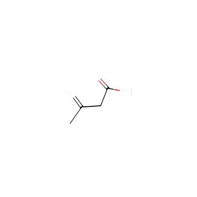 CC(=[Se])CC(=O)O